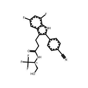 N#Cc1ccc(-c2[nH]c3c(F)cc(F)cc3c2CCC(=O)N[C@@H](CO)C(F)(F)F)cc1